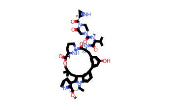 CCn1c(-c2cccnc2[C@H](C)OC)c2c3cc(ccc31)-c1cc(O)cc(c1)C[C@H](NC(=O)C(C(C)C)N(C)C(=O)N1CCN(C(=O)[C@@H]3CN3)C(=O)C1)C(=O)N1CCC[C@H](N1)C(=O)OCC(C)(C)C2